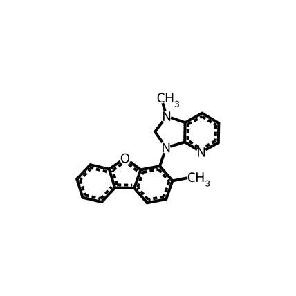 Cc1ccc2c(oc3ccccc32)c1N1CN(C)c2cccnc21